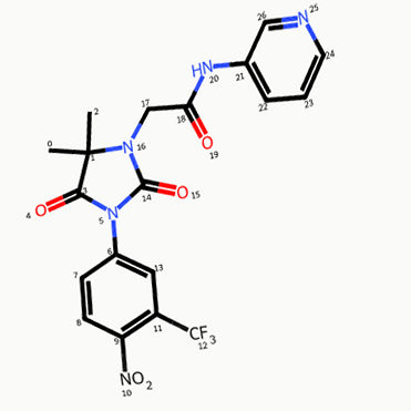 CC1(C)C(=O)N(c2ccc([N+](=O)[O-])c(C(F)(F)F)c2)C(=O)N1CC(=O)Nc1cccnc1